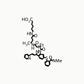 CCN(CC(=O)N[C@@H](C)CCC(=O)NCCCCCC(=O)O)C(=O)n1nc(/C=C/c2ccccn2)c2ccc(Sc3ccccc3C(=O)NC)cc21